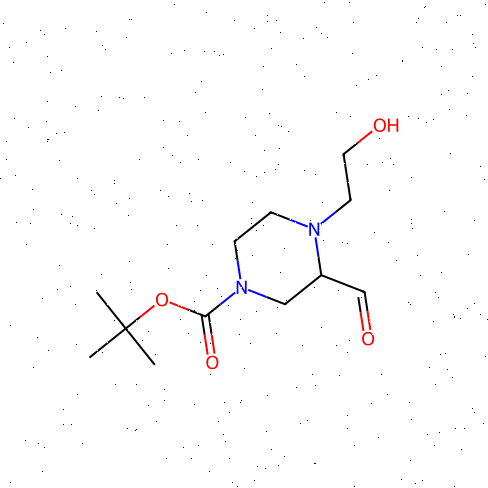 CC(C)(C)OC(=O)N1CCN(CCO)C(C=O)C1